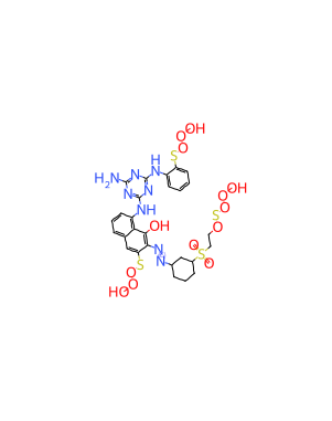 Nc1nc(Nc2ccccc2SOOO)nc(Nc2cccc3cc(SOOO)c(/N=N/C4CCCC(S(=O)(=O)CCOSOOO)C4)c(O)c23)n1